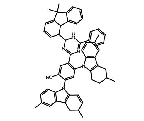 Cc1ccc2c(c1)c1c(n2-c2cc(-n3c4c(c5cc(C)ccc53)CC(C)CC4)c(C3=NC(C4C=CC=C5C4c4ccccc4C5(C)C)NC(c4ccccc4)=N3)cc2C#N)C=CC(C)C1